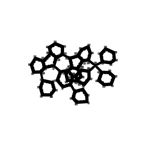 c1ccc(-c2ccc(-n3c4c(-c5ccccc5)cccc4c4cccc(-n5c6ccccc6c6c([Si](c7ccccc7)(c7ccccc7)c7ccccc7)cccc65)c43)cc2)cc1